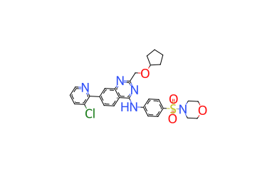 O=S(=O)(c1ccc(Nc2nc(COC3CCCC3)nc3cc(-c4ncccc4Cl)ccc23)cc1)N1CCOCC1